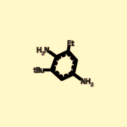 CCc1cc(N)cc(C(C)(C)C)c1N